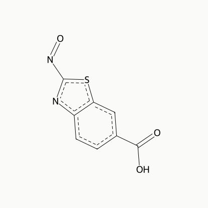 O=Nc1nc2ccc(C(=O)O)cc2s1